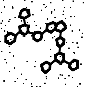 c1ccc(-c2cc(-c3ccc(-c4cccc5ccc(-c6cccc(-c7nc(-c8ccccc8)cc(-c8ccccc8)n7)c6)cc45)cc3)nc(-c3ccccc3)n2)cc1